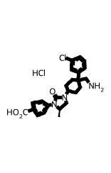 C[C@@H]1CN(C2CCC(CN)(c3cccc(Cl)c3)CC2)C(=O)N1c1ccc(C(=O)O)cc1.Cl